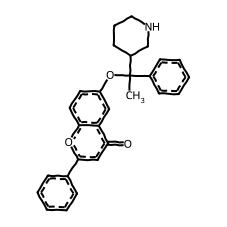 CC(Oc1ccc2oc(-c3ccccc3)cc(=O)c2c1)(c1ccccc1)C1CCCNC1